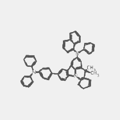 CC1(C)C2=C(CCC=C2)n2c3ccc(-c4ccc(N(C5=CC=CCC5)c5ccccc5)cc4)cc3c3cc(N(c4ccccc4)c4cccc5ccccc45)cc1c32